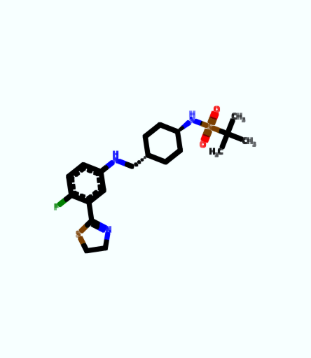 CC(C)(C)S(=O)(=O)N[C@H]1CC[C@H](CNc2ccc(F)c(C3=NCCS3)c2)CC1